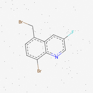 Fc1cnc2c(Br)ccc(CBr)c2c1